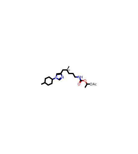 CC(=O)OC(C)OC(=O)NCCC[C@H](C)Cc1cn(C2CCC(C)CC2)cn1